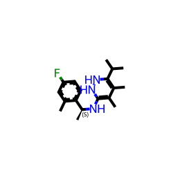 CC1=C(N[C@@H](C)c2ccc(F)cc2C)NNC(C(C)C)=C1C